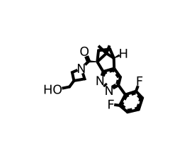 CC1(C)[C@@H]2CC[C@@]1(C(=O)N1CC(CO)C1)c1nnc(-c3c(F)cccc3F)cc12